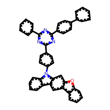 c1ccc(-c2ccc(-c3nc(-c4ccccc4)nc(-c4ccc(-n5c6ccccc6c6cc7c(cc65)oc5ccccc57)cc4)n3)cc2)cc1